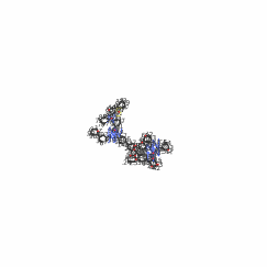 c1ccc(-c2cccc(-c3nc(-c4ccc(-c5ccc6c(c5)-c5ccccc5C65c6ccccc6-c6c5ccc5c7ccccc7n(-c7nc(-c8ccccc8)nc(-c8ccccc8)n7)c65)cc4)nc(-c4cccc(-n5c6ccccc6c6ccc7c8ccccc8sc7c65)c4)n3)c2)cc1